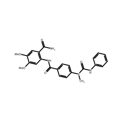 COc1cc(NC(=O)c2ccc(N(C)C(=O)Nc3ccccc3)cc2)c(C(N)=O)cc1OC